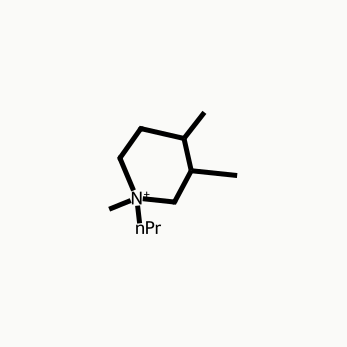 CCC[N+]1(C)CCC(C)C(C)C1